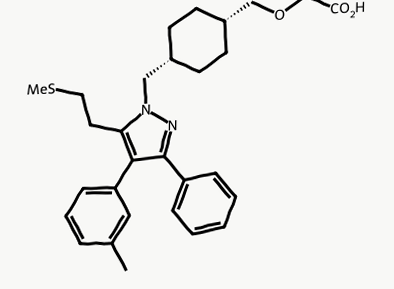 CSCCc1c(-c2cccc(C)c2)c(-c2ccccc2)nn1C[C@H]1CC[C@@H](COCC(=O)O)CC1